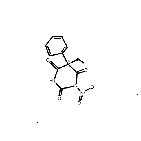 CC[C@]1(c2ccccc2)C(=O)NC(=O)N([N+](=O)[O-])C1=O